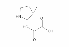 C1NCC2CC12.O=C(O)C(=O)O